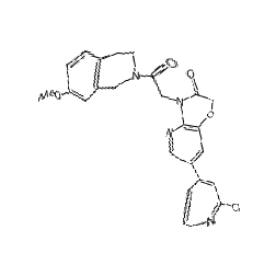 COc1ccc2c(c1)CN(C(=O)CN1C(=O)COc3cc(-c4ccnc(Cl)c4)cnc31)CC2